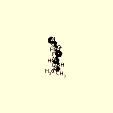 Cc1cc(Nc2cc(-c3ccc(F)c(NC(=O)c4cc5ncccc5s4)c3F)n[nH]c2=O)nn1C